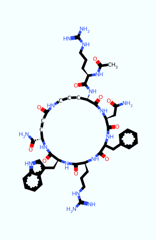 CC(=O)N[C@H](CCCNC(=N)N)C(=O)N[C@H]1CCCNC(=O)CC[C@@H](C(N)=O)NC(=O)[C@H](Cc2c[nH]c3ccccc23)NC(=O)[C@H](CCCNC(=N)N)NC(=O)C(Cc2ccccc2)NC(=O)[C@H](CC(N)=O)NC1=O